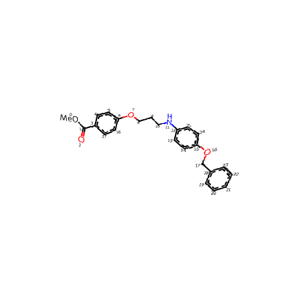 COC(=O)c1ccc(OCCCNc2ccc(OCc3ccccc3)cc2)cc1